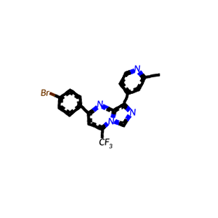 Cc1cc(-c2ncn3c(C(F)(F)F)cc(-c4ccc(Br)cc4)nc23)ccn1